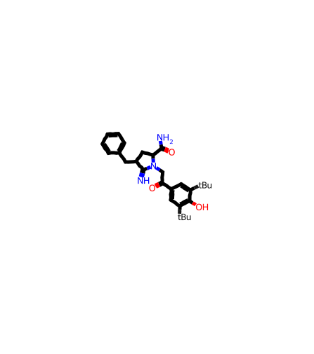 CC(C)(C)c1cc(C(=O)CN2C(=N)C(Cc3ccccc3)CC2C(N)=O)cc(C(C)(C)C)c1O